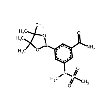 CN(c1cc(B2OC(C)(C)C(C)(C)O2)cc(C(N)=O)c1)S(C)(=O)=O